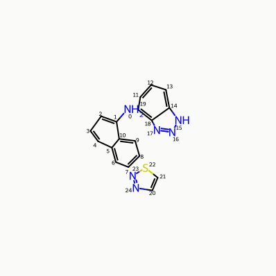 Nc1cccc2ccccc12.c1ccc2[nH]nnc2c1.c1csnn1